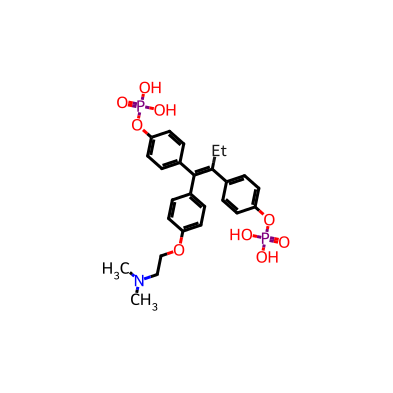 CCC(=C(c1ccc(OCCN(C)C)cc1)c1ccc(OP(=O)(O)O)cc1)c1ccc(OP(=O)(O)O)cc1